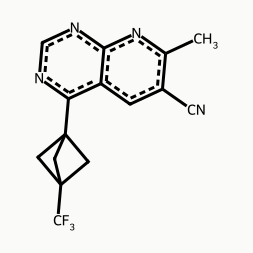 Cc1nc2ncnc(C34CC(C(F)(F)F)(C3)C4)c2cc1C#N